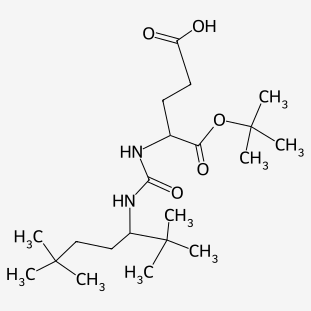 CC(C)(C)CCC(NC(=O)NC(CCC(=O)O)C(=O)OC(C)(C)C)C(C)(C)C